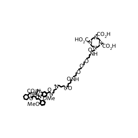 COc1cccc(OC)c1-c1cc(C(=O)NC(C(=O)O)C2CCCCC2)nn1-c1ccc(C(=O)N(C)CCCN(C)CCCN(C)C(=O)CCC(=O)NCCCOCCOCCOCCCNC(=O)CN2CCN(CC(=O)O)CCN(CC(=O)O)CCN(CC(=O)O)CC2)cc1C(C)C